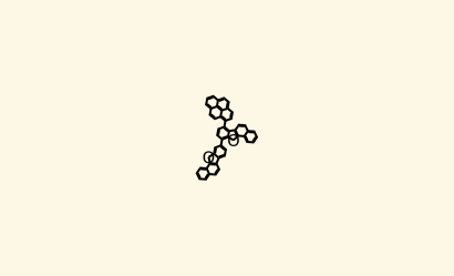 c1ccc2c(c1)ccc1c3ccc(-c4ccc(-c5ccc6ccc7cccc8ccc5c6c78)c5c4oc4c6ccccc6ccc45)cc3oc21